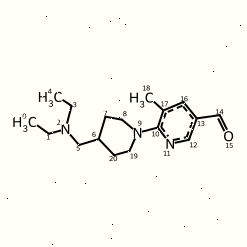 CCN(CC)CC1CCN(c2ncc(C=O)cc2C)CC1